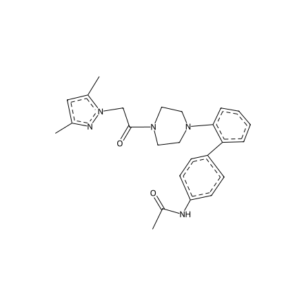 CC(=O)Nc1ccc(-c2ccccc2N2CCN(C(=O)Cn3nc(C)cc3C)CC2)cc1